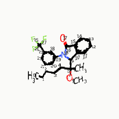 CCCCCC(C)(OC)C1c2ccccc2C(=O)N1c1cccc(C(F)(F)F)c1